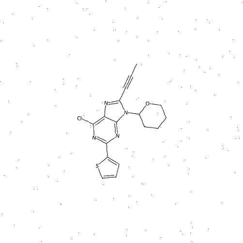 CC#Cc1nc2c(Cl)nc(-c3cccs3)nc2n1C1CCCCO1